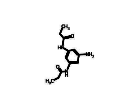 CCC(=O)Nc1cc(N)cc(NC(=O)CC)c1